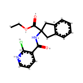 CCOC(=O)C1(NC(=O)c2cccnc2Cl)Cc2ccccc2C1